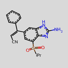 CC(C)S(=O)(=O)c1cc(/C(=C\C#N)c2ccccc2)cc2[nH]c(N)nc12